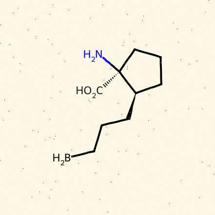 BCCC[C@@H]1CCC[C@@]1(N)C(=O)O